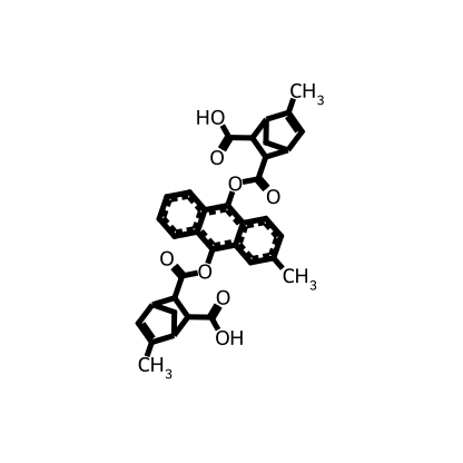 CC1=CC2CC1C(C(=O)O)C2C(=O)Oc1c2ccccc2c(OC(=O)C2C3C=C(C)C(C3)C2C(=O)O)c2cc(C)ccc12